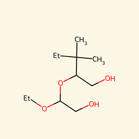 CCOC(CO)OC(CO)C(C)(C)CC